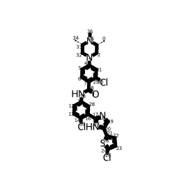 C[C@@H]1CN(c2ccc(C(=O)Nc3ccc(Cl)c(-c4ncc(-c5ccc(Cl)s5)[nH]4)c3)c(Cl)c2)C[C@H](C)N1C